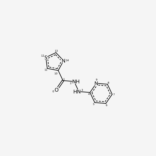 O=C(NNc1ccccn1)c1cscn1